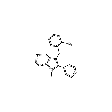 Cn1c(-c2ccccc2)c(Cc2ccccc2[N+](=O)[O-])c2ccccc21